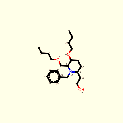 CCCCOCC1C(OCCCC)CCC(CCO)N1Cc1ccccc1